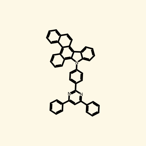 c1ccc(-c2cc(-c3ccccc3)nc(-c3ccc(-n4c5ccccc5c5c6ccc7ccccc7c6c6ccccc6c54)cc3)n2)cc1